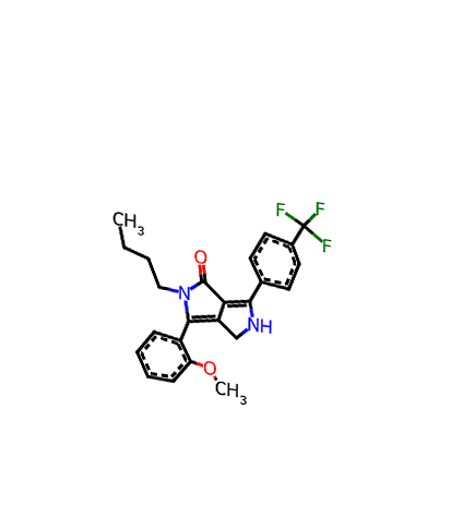 CCCCN1C(=O)C2=C(c3ccc(C(F)(F)F)cc3)NCC2=C1c1ccccc1OC